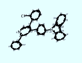 Clc1ccccc1-c1cnc(-c2ccccc2)cc1-c1ccc(-n2c3ccccc3c3ccccc32)cc1